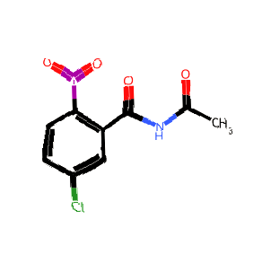 CC(=O)NC(=O)c1cc(Cl)ccc1I(=O)=O